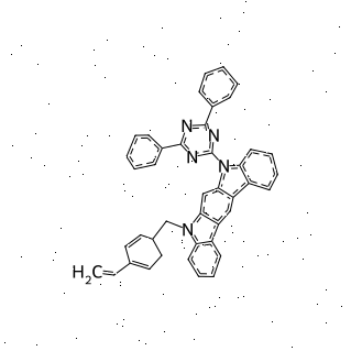 C=CC1=CCC(Cn2c3ccccc3c3cc4c5ccccc5n(-c5nc(-c6ccccc6)nc(-c6ccccc6)n5)c4cc32)C=C1